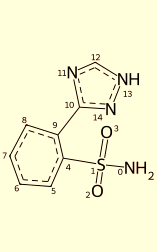 NS(=O)(=O)c1ccccc1-c1nc[nH]n1